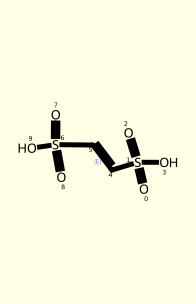 O=S(=O)(O)/C=C/S(=O)(=O)O